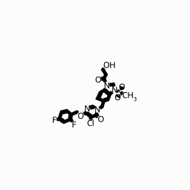 CS(=O)(=O)N1CN(C(=O)CCO)c2ccc(Cn3cnc(OCc4ccc(F)cc4F)c(Cl)c3=O)cc21